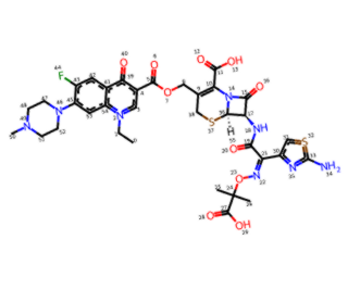 CCn1cc(C(=O)OCC2=C(C(=O)O)N3C(=O)[C@@H](NC(=O)/C(=N\OC(C)(C)C(=O)O)c4csc(N)n4)[C@H]3SC2)c(=O)c2cc(F)c(N3CCN(C)CC3)cc21